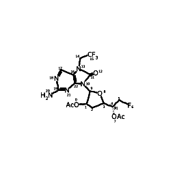 CC(=O)OC1CC([C@H](CF)OC(C)=O)OC1n1c(=O)n(CC(F)(F)F)c2cnc(N)nc21